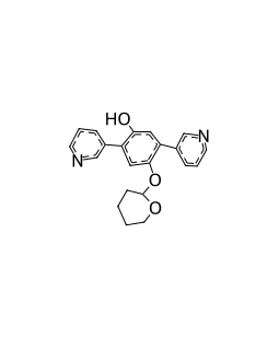 Oc1cc(-c2cccnc2)c(OC2CCCCO2)cc1-c1cccnc1